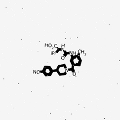 Cc1ccc(C(=O)N2CCC(c3ccc(C#N)cc3)CC2)cc1NC(=O)N[C@H](C(=O)O)C(C)C